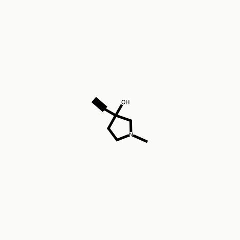 C#CC1(O)CCN(C)C1